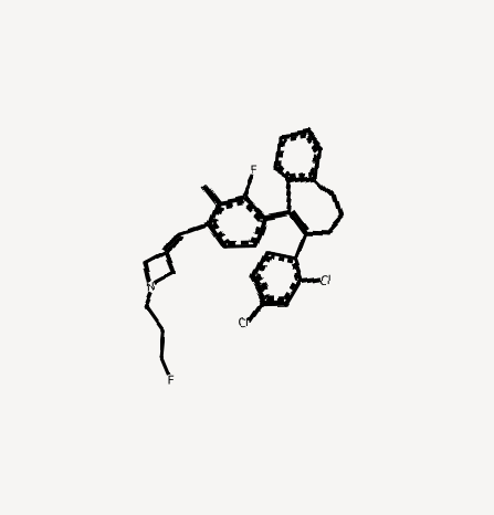 Cc1c(C=C2CN(CCCF)C2)ccc(C2=C(c3ccc(Cl)cc3Cl)CCCc3ccccc32)c1F